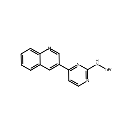 CCCNc1nccc(-c2cnc3ccccc3c2)n1